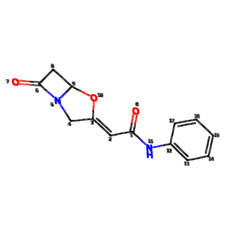 O=C(/C=C1/CN2C(=O)CC2O1)Nc1ccccc1